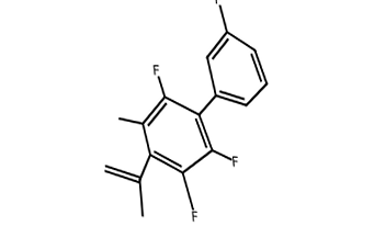 C=C(C)c1c(C)c(F)c(-c2cccc(F)c2)c(F)c1F